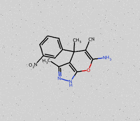 Cc1n[nH]c2c1C(C)(c1cccc([N+](=O)[O-])c1)C(C#N)=C(N)O2